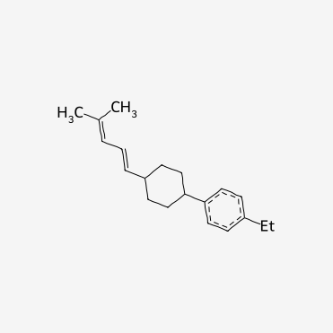 CCc1ccc(C2CCC(/C=C/C=C(C)C)CC2)cc1